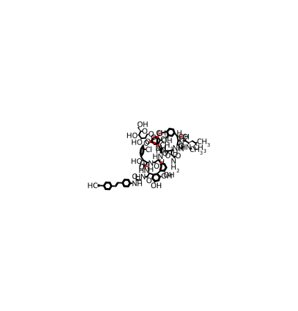 C#Cc1ccc(/C=C/c2ccc(NC(=O)CNC(=O)C3NC(=O)[C@H]4NC(=O)[C@H](NC(=O)C5NC(=O)[C@H](CC(N)=O)NC(=O)[C@H](NC(=O)[C@@H](CC(C)C)NC)[C@H](O)c6ccc(c(Cl)c6)Oc6cc5cc(c6O[C@@H]5O[C@H](CO)[C@@H](O)[C@H](O)[C@H]5OC5C[C@](C)(N)[C@H](O)[C@H](C)O5)Oc5ccc(cc5Cl)[C@H]4O)c4ccc(O)c(c4)-c4c(O)cc(O)cc43)cc2)cc1